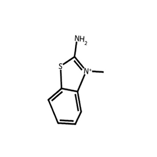 C[n+]1c(N)sc2ccccc21